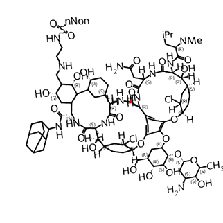 CCCCCCCCCS(=O)(=O)NCCNCC1[C@H](O)C2C3C[C@H](CC[C@H]3O)[C@H]3NC(=O)[C@@H]4NC(=O)[C@H](CC(N)=O)NC(=O)[C@H](NC(=O)[C@@H](CC(C)C)NC)[C@H](O)[C@H]5CC[C@@H](Oc6cc4cc(c6O[C@@H]4C[C@H](CO)[C@@H](O)[C@H](O)[C@H]4O[C@H]4C[C@H](N)[C@H](O)[C@H](C)O4)O[C@@H]4CC[C@@H](C[C@@H]4Cl)[C@@H](O)[C@H](NC3=O)C(=O)N[C@H](C(=O)NC3C4CC6CC(C4)CC3C6)C2C[C@@H]1O)[C@H](Cl)C5